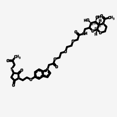 CC(=O)CSC1CC(=O)N(CCOc2ccc3c(ccn3CC(=O)OCCOCCOCC(=O)NCC3O[C@@H]4OCCN(C(C)=O)[C@H]4[C@@H](O)[C@H]3O)c2)C1=O